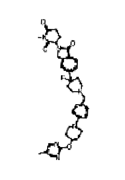 Cc1cnc(OC2CCN(c3ccc(CN4CCC(F)(c5ccc6c(c5)CN(C5CCC(=O)NC5=O)C6=O)CC4)cc3)CC2)nc1